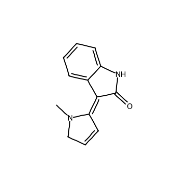 CN1CC=CC1=C1C(=O)Nc2ccccc21